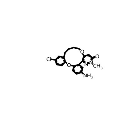 Cn1nc2c(cc1=O)OCCCCc1cc(Cl)ccc1Oc1ccc(N)cc1-2